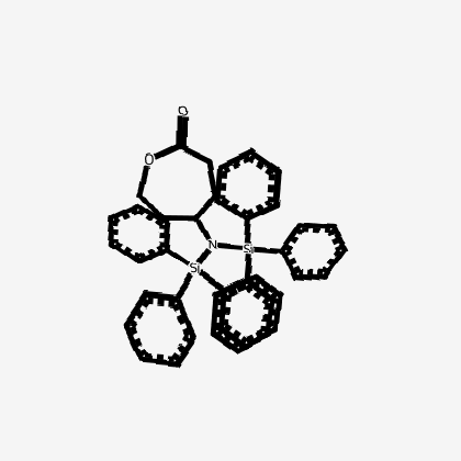 O=C1CCC(N([Si](c2ccccc2)(c2ccccc2)c2ccccc2)[Si](c2ccccc2)(c2ccccc2)c2ccccc2)CCO1